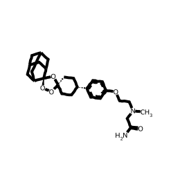 CN(CCOc1ccc([C@H]2CC[C@]3(CC2)OO[C@]2(O3)C3CC4CC(C3)CC2C4)cc1)CC(N)=O